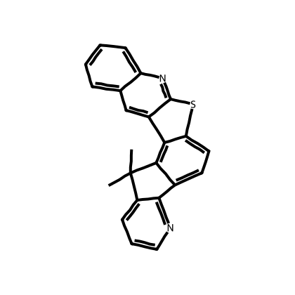 CC1(C)c2cccnc2-c2ccc3sc4nc5ccccc5cc4c3c21